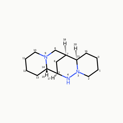 C1CCN2N[C@@H]3C[C@@H](CN4CCCC[C@@H]34)[C@H]2C1